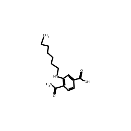 CCCCCCCNc1cc(C(=O)O)ccc1C(N)=O